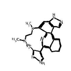 CN(C)CCN(C)c1cc2[nH]ncc2c2c3c(c(-c4c[nH]nc4C(F)(F)F)nc12)CCCC3